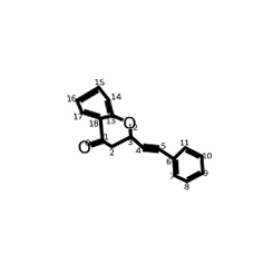 O=C1CC(C#Cc2ccccc2)Oc2ccccc21